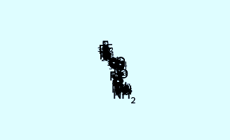 CN(C(=O)c1cc2c(cc1F)nc(N)c1cncn12)[C@@H]1CCOc2cc(-c3cnn(C(F)(F)F)c3)ccc21